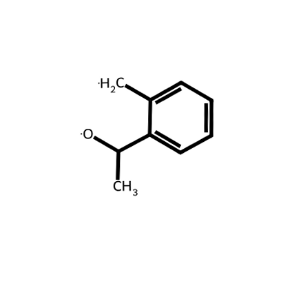 [CH2]c1ccccc1C(C)[O]